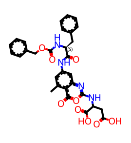 Cc1cc(NC(=O)[C@H](Cc2ccccc2)NC(=O)OCc2ccccc2)cc2nc(NC(CC(=O)O)C(=O)O)oc(=O)c12